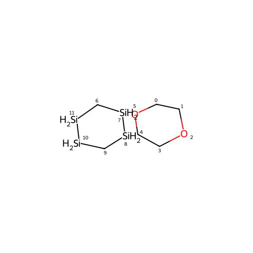 C1COCCO1.C1[SiH2][SiH2]C[SiH2][SiH2]1